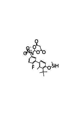 Cc1c(-c2cc(N(C3OC(=O)CC(=O)O3)[N+](=O)[O-])ccc2F)ccc(O[SiH](C)C)c1C(C)(C)C